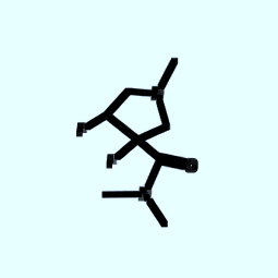 CN1CC(F)C(F)(C(=O)N(C)C)C1